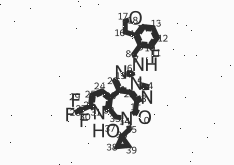 O=C1c2ncn3c(NCc4c(F)ccc5c4CCO5)ncc(c23)-c2ccc(C(F)(F)F)nc2CN1CC1(O)CC1